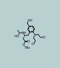 CB(O)N[C@H](CC(=O)OC(C)(C)C)Cc1cc(CO)ccc1N(CCCl)CCCl